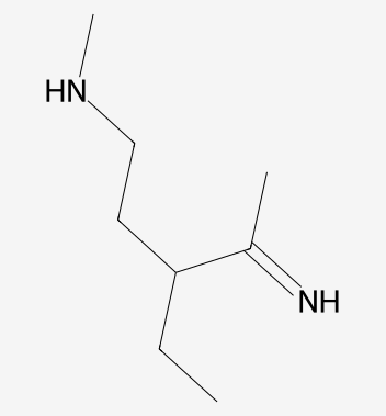 CCC(CCNC)C(C)=N